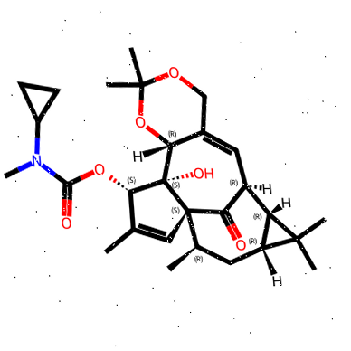 CC1=C[C@]23C(=O)[C@@H](C=C4COC(C)(C)O[C@H]4[C@]2(O)[C@H]1OC(=O)N(C)C1CC1)[C@H]1[C@@H](C[C@H]3C)C1(C)C